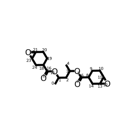 CC(CC(C)OC(=O)C1CCC2OC2C1)OC(=O)C1CCC2OC2C1